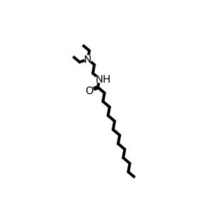 CCCCCCCCCCCCCC(=O)NCCN(CC)CC